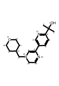 CC(C)(O)c1ccc(C2=CN(CC3CCOCC3)CC=N2)cn1